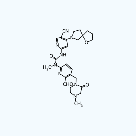 CN1CCN(Cc2ccc(N(C)C(=O)Nc3cc(N4CCC5(CCCO5)C4)c(C#N)cn3)nc2C=O)C(=O)C1